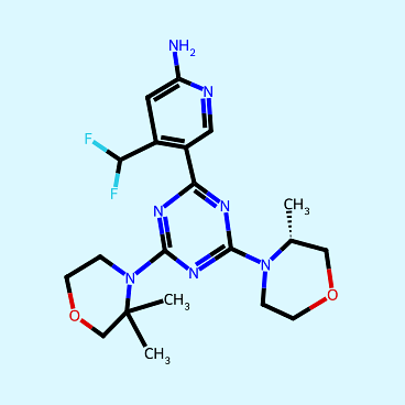 C[C@@H]1COCCN1c1nc(-c2cnc(N)cc2C(F)F)nc(N2CCOCC2(C)C)n1